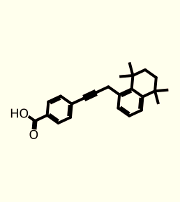 CC1(C)CCC(C)(C)c2c(CC#Cc3ccc(C(=O)O)cc3)cccc21